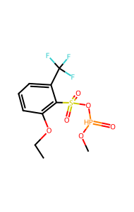 CCOc1cccc(C(F)(F)F)c1S(=O)(=O)O[PH](=O)OC